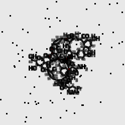 CN[C@H](CC(C)C)C(=O)N[C@H]1C(=O)N[C@@H](CC(N)=O)C(=O)N[C@H]2C(=O)N[C@H]3C(=O)N[C@H](C(=O)N[C@H](C(=O)O)c4cc(O)cc(O)c4-c4cc3ccc4O)[C@H](O)c3ccc(c(Cl)c3)Oc3cc2cc(c3O[C@H]2O[C@H](CO)[C@H](O)C(O)C2O[C@H]2C[C@@](C)(NCc3cc[n+](C)cc3)[C@@H](O)C(C)O2)Oc2ccc(cc2Cl)[C@H]1O